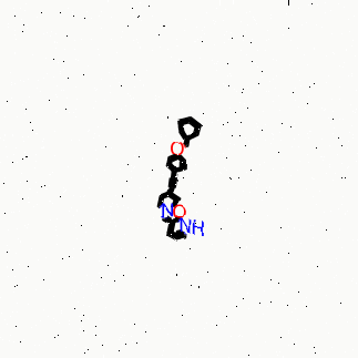 O=c1[nH]cccc1CN1CCC(C#Cc2ccc(OCC3CCCCC3)cc2)CC1